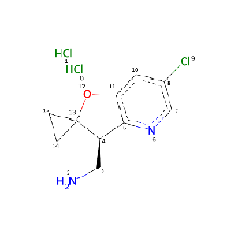 Cl.Cl.NC[C@@H]1c2ncc(Cl)cc2OC12CC2